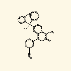 C#Cc1cccc(-c2cc(=O)n(C)c3ccc([C@](C)(c4ccccc4)c4cncn4C)cc23)c1